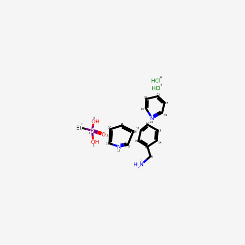 CCP(=O)(O)O.Cl.Cl.NCc1ccccc1.c1ccncc1.c1ccncc1